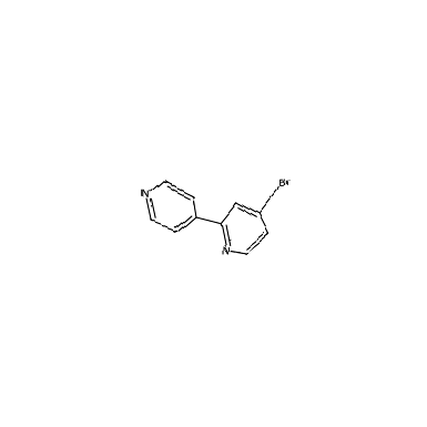 Brc1ccnc(-c2ccncc2)c1